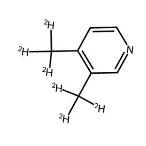 [2H]C([2H])([2H])c1ccncc1C([2H])([2H])[2H]